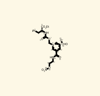 CCOC(=O)[C@H](CC(C)C)NC(=O)OC[n+]1cccc(C(=O)NCCO[N+](=O)[O-])c1.O=C[O-]